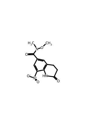 CON(C)C(=O)c1cc2c(c([N+](=O)[O-])c1)NC(=O)CC2